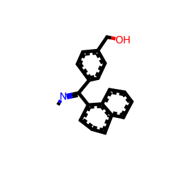 C/N=C(/c1ccc(CO)cc1)c1cccc2ccccc12